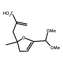 C=C(CC1(C)CC=C(C(OC)OC)O1)C(=O)O